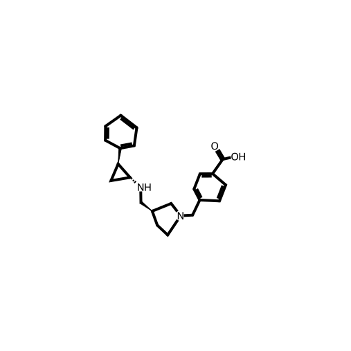 O=C(O)c1ccc(CN2CC[C@@H](CN[C@@H]3C[C@H]3c3ccccc3)C2)cc1